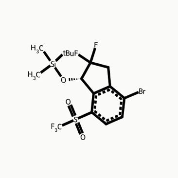 CC(C)(C)[Si](C)(C)O[C@H]1c2c(S(=O)(=O)C(F)(F)F)ccc(Br)c2CC1(F)F